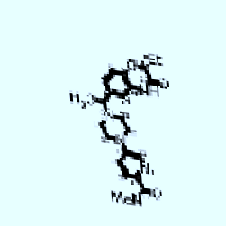 CC[C@H]1Oc2ccc(C(C)N3CCN(c4ccc(C(=O)NC)nc4)CC3)cc2NC1=O